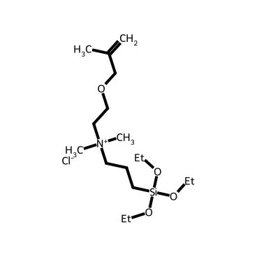 C=C(C)COCC[N+](C)(C)CCC[Si](OCC)(OCC)OCC.[Cl-]